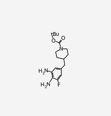 CC(C)(C)OC(=O)N1CCC(Cc2cc(N)c(N)c(F)c2)CC1